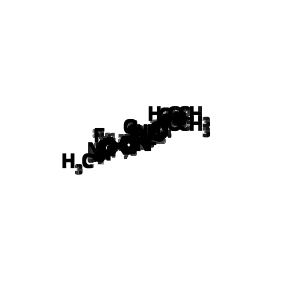 Cc1cn2cc(-c3ccc4nc(C5(F)CCN(C(=O)OC(C)(C)C)CC5)[nH]c(=O)c4c3)cc(F)c2n1